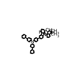 CC1(C)CC(C)(C)c2c(-n3c4ccccc4c4cc(-c5ccc(N(c6ccc(-c7ccccc7)cc6)c6ccc(-c7ccccc7)cc6)cc5)ccc43)cccc21